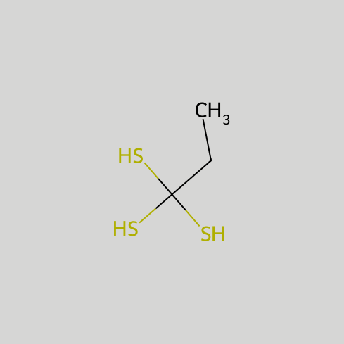 CCC(S)(S)S